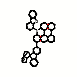 c1ccc(-c2cccc3cccc(-c4ccccc4N(c4ccc(-c5ccc6c(c5)C5(c7ccccc7-6)C6CC7CC(C6)C5C7)cc4)c4cccc5c4oc4ccccc45)c23)cc1